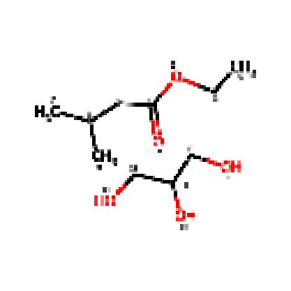 CCOC(=O)CC(C)C.OCC(O)CO